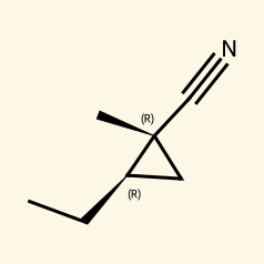 CC[C@@H]1C[C@@]1(C)C#N